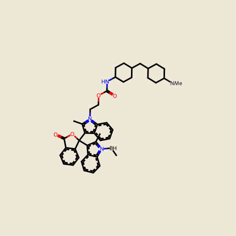 CBn1c(C)c(C2(c3c(C)n(CCOC(=O)NC4CCC(CC5CCC(NC)CC5)CC4)c4ccccc34)OC(=O)c3ccccc32)c2ccccc21